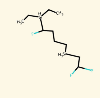 CC[SiH](CC)C(F)CCC[SiH2]CC(F)F